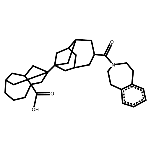 O=C(C1CC2CC3CC(C45CC6CCCC(C(=O)O)(C4)C(C6)C5)(C2)CC3C1)N1CCc2ccccc2CC1